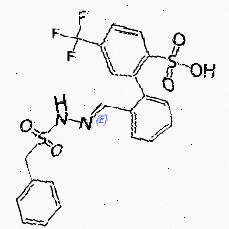 O=S(=O)(Cc1ccccc1)N/N=C/c1ccccc1-c1cc(C(F)(F)F)ccc1S(=O)(=O)O